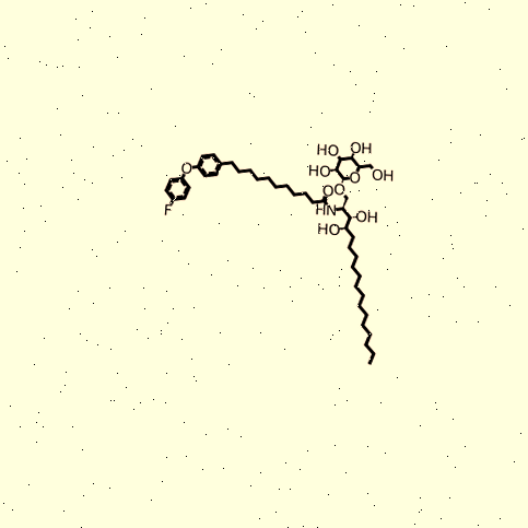 CCCCCCCCCCCCCC[C@@H](O)[C@@H](O)[C@H](CO[C@H]1OC(CO)[C@H](O)C(O)[C@@H]1O)NC(=O)CCCCCCCCCCc1ccc(Oc2ccc(F)cc2)cc1